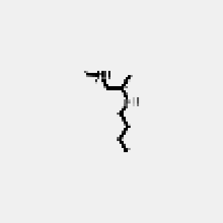 CCCCNC(C)CNC